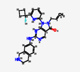 C=CCn1c(=O)c2cnc(Nc3ccc4c(c3)CNCC4)nc2n1-c1cccc(C2(F)CCC2)n1